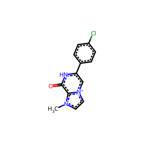 Cn1cc[n+]2cc(-c3ccc(Cl)cc3)[nH]c(=O)c12